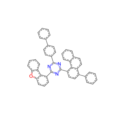 c1ccc(-c2ccc(-c3nc(-c4cccc5oc6ccccc6c45)nc(-c4ccc(-c5ccccc5)c5ccc6ccccc6c45)n3)cc2)cc1